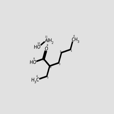 CCCCC(CC)C(=O)O.[OH][AlH2]